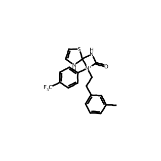 Cc1cccc(CC[N+]2(c3ccc(C(F)(F)F)cc3)C(=O)NC23NC=CS3)c1